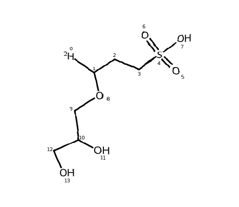 [2H]C(CCS(=O)(=O)O)OCC(O)CO